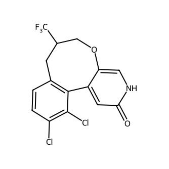 O=c1cc2c(c[nH]1)OCC(C(F)(F)F)Cc1ccc(Cl)c(Cl)c1-2